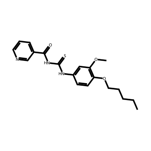 CCCCCOc1ccc(NC(=S)NC(=O)c2cccnc2)cc1OC